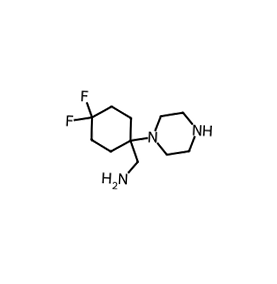 NCC1(N2CCNCC2)CCC(F)(F)CC1